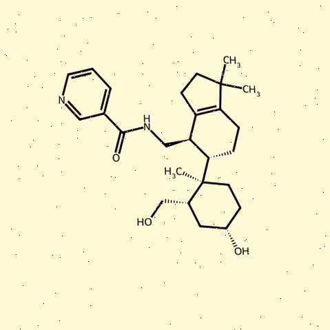 CC1(C)CCC2=C1CC[C@H]([C@@]1(C)CC[C@H](O)C[C@@H]1CO)[C@H]2CNC(=O)c1cccnc1